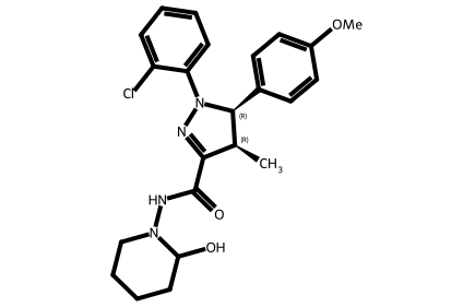 COc1ccc([C@H]2[C@@H](C)C(C(=O)NN3CCCCC3O)=NN2c2ccccc2Cl)cc1